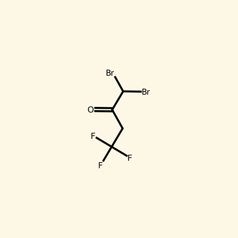 O=C(CC(F)(F)F)C(Br)Br